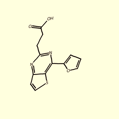 O=C(O)CCc1nc(-c2ccco2)c2sccc2n1